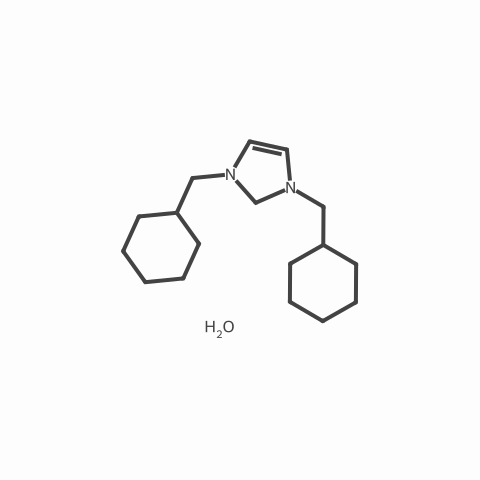 C1=CN(CC2CCCCC2)CN1CC1CCCCC1.O